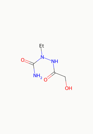 CCN(NC(=O)CO)C(N)=O